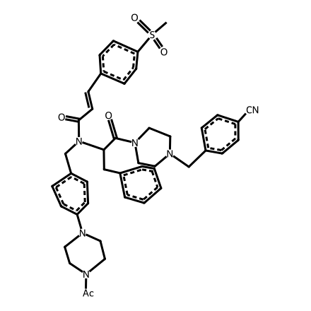 CC(=O)N1CCN(c2ccc(CN(C(=O)C=Cc3ccc(S(C)(=O)=O)cc3)C(Cc3ccccc3)C(=O)N3CCN(Cc4ccc(C#N)cc4)CC3)cc2)CC1